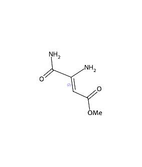 COC(=O)/C=C(\N)C(N)=O